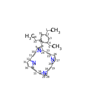 CCc1cc(CC)c(C2=CC3=CC4=NC(=CC5=NC(=CC6=NC(=CC2=N3)C=C6)C=C5)C=C4)c(CC)c1